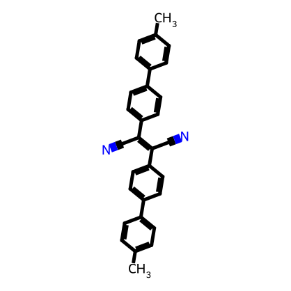 Cc1ccc(-c2ccc(/C(C#N)=C(\C#N)c3ccc(-c4ccc(C)cc4)cc3)cc2)cc1